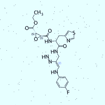 CCOC(=O)[C@H]1O[C@@H]1C(=O)NC(Cc1cscn1)C(=O)NC/C(=C/Nc1ccc(F)cc1)N=N